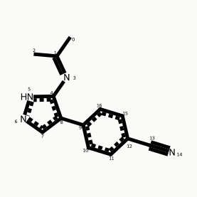 CC(C)=Nc1[nH]ncc1-c1ccc(C#N)cc1